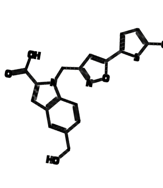 O=C(O)c1cc2cc(CO)ccc2n1Cc1cc(-c2ccc(Cl)s2)on1